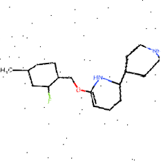 CC1CCC(COC2=CCCC(C3CCNCC3)N2)C(F)C1